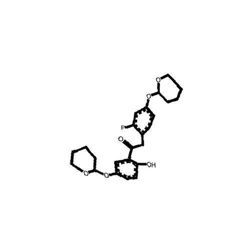 O=C(Cc1ccc(OC2CCCCO2)cc1F)c1cc(OC2CCCCO2)ccc1O